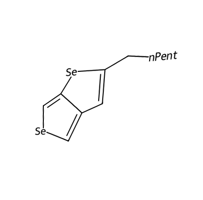 CCCCCCc1cc2c[se]cc2[se]1